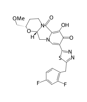 COC[C@@H]1CCN2C(=O)c3c(O)c(=O)c(-c4nnc(Cc5ccc(F)cc5F)s4)cn3C[C@@H]2O1